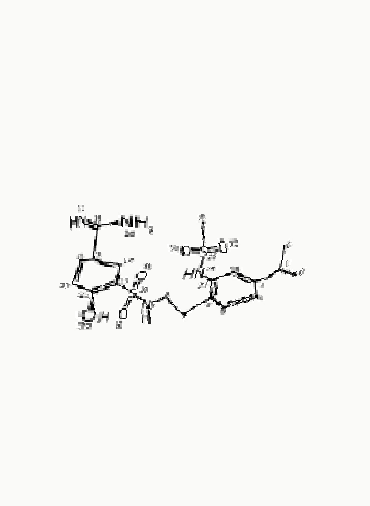 CC(C)c1ccc(CCNS(=O)(=O)c2cc(C(=N)N)ccc2O)c(NS(C)(=O)=O)c1